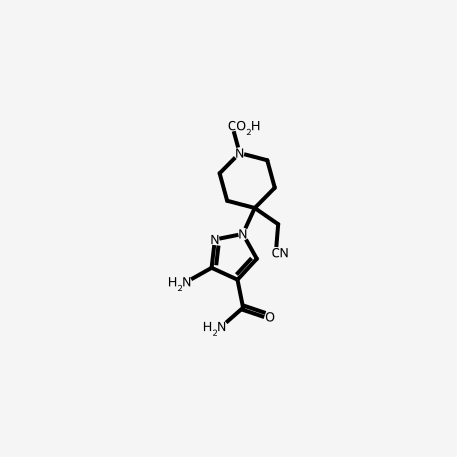 N#CCC1(n2cc(C(N)=O)c(N)n2)CCN(C(=O)O)CC1